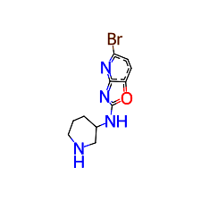 Brc1ccc2oc(NC3CCCNC3)nc2n1